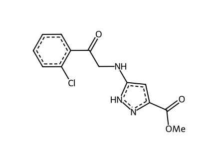 COC(=O)c1cc(NCC(=O)c2ccccc2Cl)[nH]n1